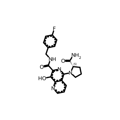 NC(=O)[C@@H]1CCCN1c1nc(C(=O)NCc2ccc(F)cc2)c(O)c2ncccc12